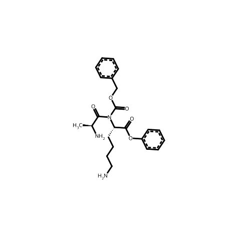 C[C@H](N)C(=O)N(C(=O)OCc1ccccc1)[C@@H](CCCCN)C(=O)Oc1ccccc1